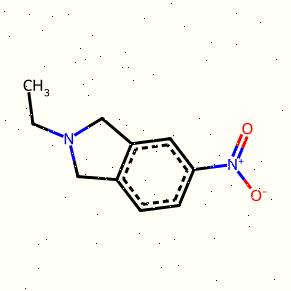 CCN1Cc2ccc([N+](=O)[O-])cc2C1